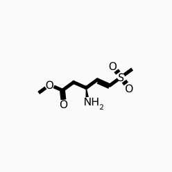 COC(=O)C[C@H](N)/C=C/S(C)(=O)=O